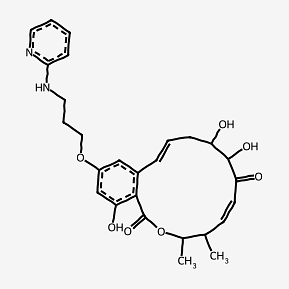 CC1/C=C\C(=O)C(O)C(O)C/C=C/c2cc(OCCCNc3ccccn3)cc(O)c2C(=O)OC1C